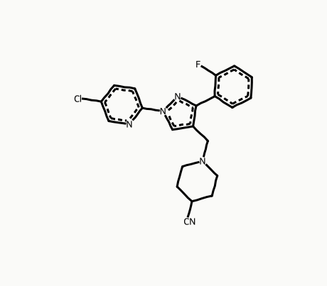 N#CC1CCN(Cc2cn(-c3ccc(Cl)cn3)nc2-c2ccccc2F)CC1